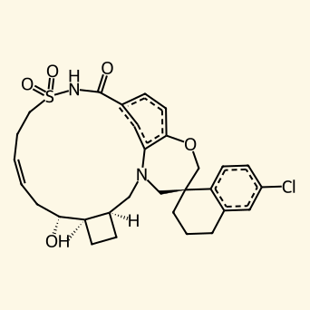 C[C@@]12CC[C@@H]1CN1C[C@@]3(CCCc4cc(Cl)ccc43)COc3ccc(cc31)C(=O)NS(=O)(=O)CC/C=C\C[C@H]2O